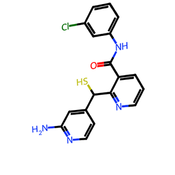 Nc1cc(C(S)c2ncccc2C(=O)Nc2cccc(Cl)c2)ccn1